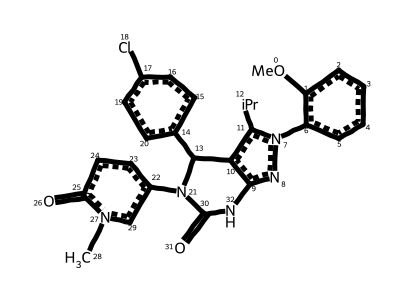 COc1ccccc1-n1nc2c(c1C(C)C)C(c1ccc(Cl)cc1)N(c1ccc(=O)n(C)c1)C(=O)N2